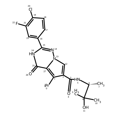 CC(C)c1c(C(=O)N[C@H](C)C(C)(C)O)cn2nc(-c3ccc(Cl)c(F)c3)[nH]c(=O)c12